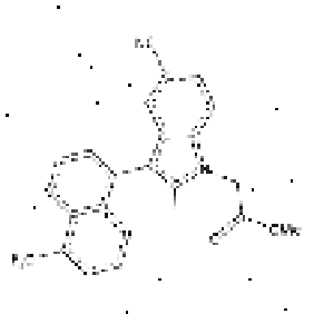 COC(=O)Cn1c(C)c(-c2ccnc3c(C(F)(F)F)cccc23)c2cc(C#N)ccc21